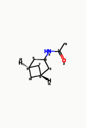 CC(=O)NC1C[C@H]2C[C@H](C1)C2